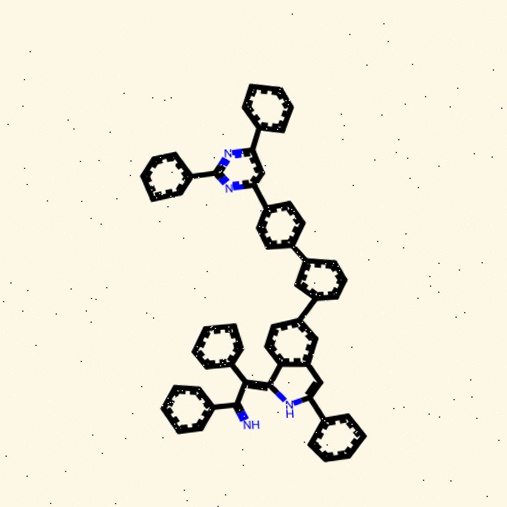 N=C(/C(=C1\NC(c2ccccc2)=Cc2cc(-c3cccc(-c4ccc(-c5cc(-c6ccccc6)nc(-c6ccccc6)n5)cc4)c3)ccc21)c1ccccc1)c1ccccc1